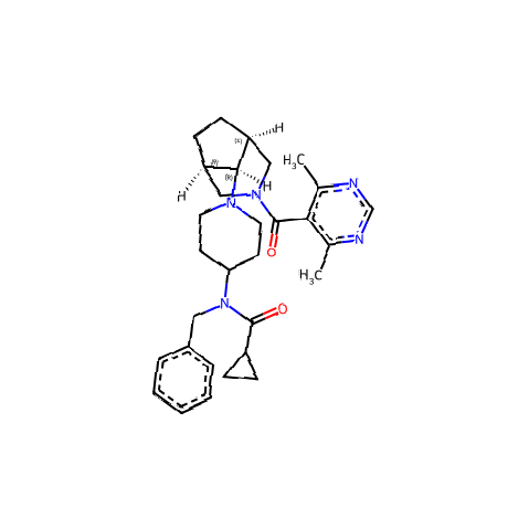 Cc1ncnc(C)c1C(=O)N1C[C@H]2CC[C@@H](C1)[C@H]2N1CCC(N(Cc2ccccc2)C(=O)C2CC2)CC1